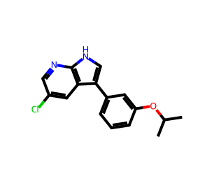 CC(C)Oc1cccc(-c2c[nH]c3ncc(Cl)cc23)c1